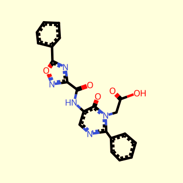 O=C(O)Cn1c(-c2ccccc2)ncc(NC(=O)c2noc(-c3ccccc3)n2)c1=O